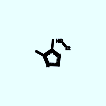 CCO.Cc1ncsc1C